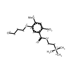 COc1cc([N+](=O)[O-])c(C(=O)OCC[Si](C)(C)C)cc1OCCCCl